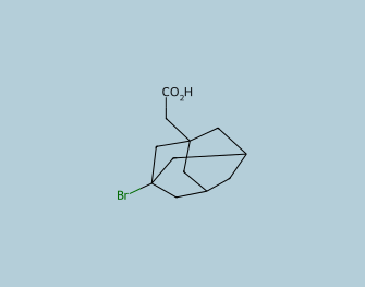 O=C(O)CC12CC3CC(CC(Br)(C3)C1)C2